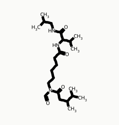 CC(C)CNC(=O)C(NC(=O)CCCCCN(C=O)C(=O)CC(C)C(C)C)C(C)C